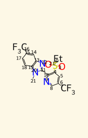 CCS(=O)(=O)c1cc(C(F)(F)F)cnc1-c1nc2cc(C(F)(F)F)ccc2n1C